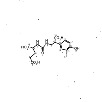 O=C(O)CCC(NC(=O)NCC(C(=O)O)c1ccc(O)c(I)c1)C(=O)O